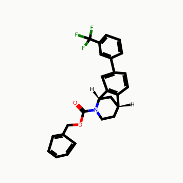 O=C(OCc1ccccc1)N1CC[C@@H]2C[C@H]1c1cc(-c3cccc(C(F)(F)F)c3)ccc12